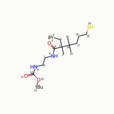 CC(C)CC(C)(C(=O)NCCNC(=O)OC(C)(C)C)C(C)(C)CCCS